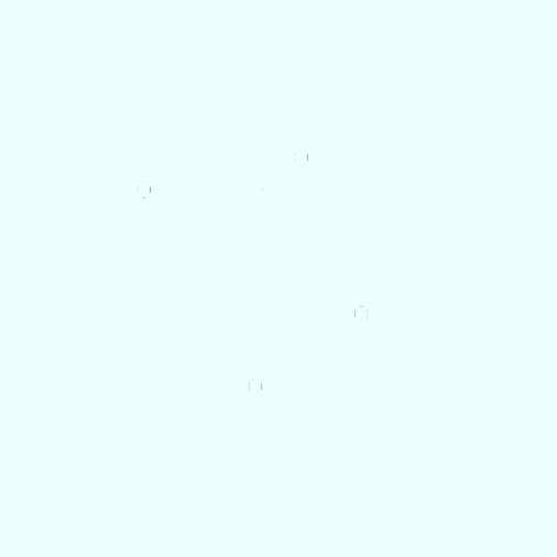 COC1=CC(OC)C(C)(OC)C=C1OC